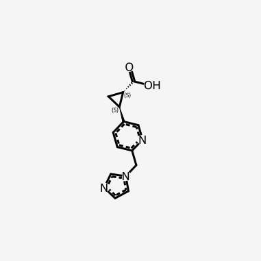 O=C(O)[C@H]1C[C@@H]1c1ccc(Cn2ccnc2)nc1